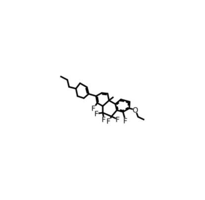 CCCC1CC=C(C2=C(F)C3C(C)(C=C2)c2ccc(OCC)c(F)c2C(F)(F)C3(F)F)CC1